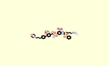 COc1cc(C(=O)NS(=O)(=O)c2ccc(N[C@H](CCCCN)CS(=O)(=O)c3ccccc3)c([N+](=O)[O-])c2)ccc1-c1ccc(CCCN2CCOCC2)cc1